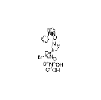 C[C@@H]1CC[C@@H](c2nc(C(=O)N(C(=O)O)C(=O)O)c(Br)o2)CN1C(=O)c1ccccc1-n1nccn1